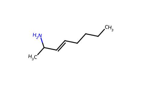 CCCCC=CC(C)N